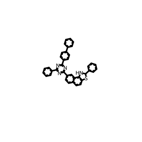 c1ccc(-c2ccc(-c3nc(-c4ccccc4)nc(-c4ccc5ccc6c(c5c4)NC(c4ccccc4)S6)n3)cc2)cc1